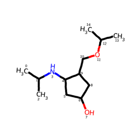 CC(C)NC1CC(O)CC1COC(C)C